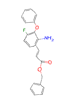 Nc1c(C=CC(=O)OCc2ccccc2)ccc(F)c1Oc1ccccc1